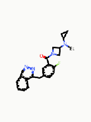 CCN(C1CC1)C1CN(C(=O)c2cc(Cc3nncc4ccccc34)ccc2F)C1